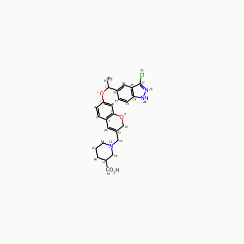 CC(C)C(Oc1ccc2c(c1)OCC(CN1CCCC(C(=O)O)C1)=C2)c1ccc2[nH]nc(Cl)c2c1